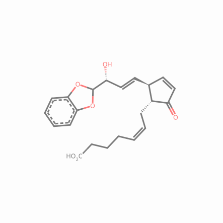 O=C(O)CCC/C=C\C[C@H]1C(=O)C=C[C@@H]1/C=C/[C@@H](O)C1Oc2ccccc2O1